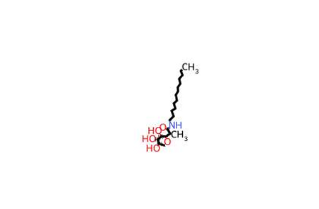 CCCCCCCCCCCCCCNC(=O)C(C)C1OC[C@@H](O)[C@H](O)[C@H]1O